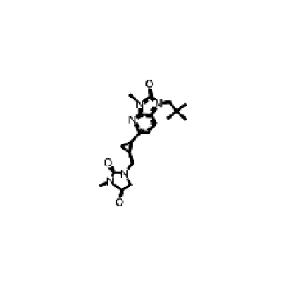 CN1C(=O)CN(CC2CC2c2ccc3c(n2)n(C)c(=O)n3CC(C)(C)C)C1=O